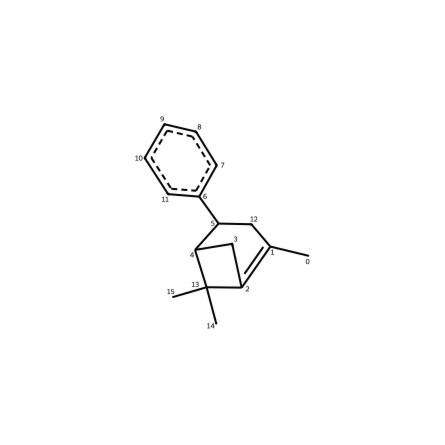 CC1=C2CC(C(c3ccccc3)C1)C2(C)C